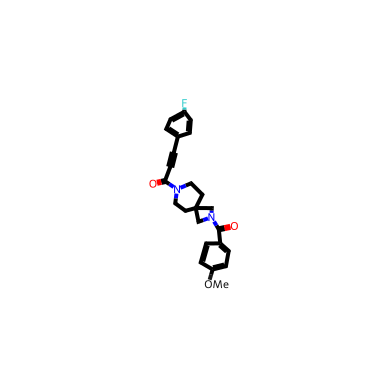 COc1ccc(C(=O)N2CC3(CCN(C(=O)C#Cc4ccc(F)cc4)CC3)C2)cc1